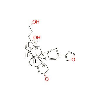 C[C@]12C[C@H](c3ccc(-c4ccoc4)cc3)[C@H]3[C@@H](CCC4=CC(=O)CC[C@@H]43)[C@@H]1C=C[C@@]2(O)CCCO